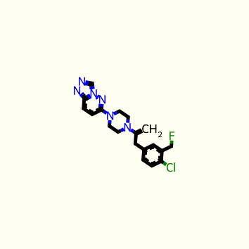 C=C(Cc1ccc(Cl)c(CF)c1)N1CCN(c2ccc3nncn3n2)CC1